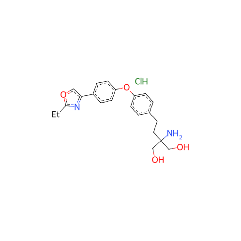 CCc1nc(-c2ccc(Oc3ccc(CCC(N)(CO)CO)cc3)cc2)co1.Cl